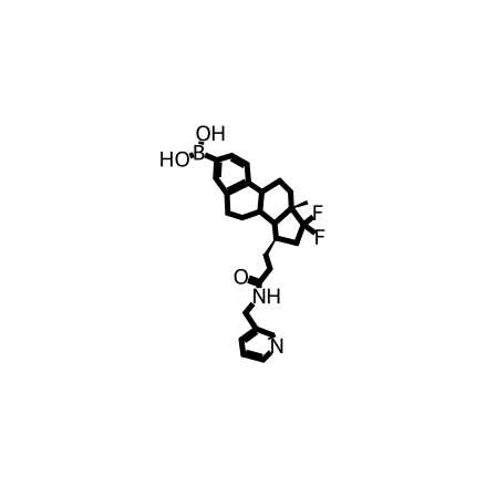 C[C@]12CCC3c4ccc(B(O)O)cc4CCC3C1[C@H](CCC(=O)NCc1cccnc1)CC2(F)F